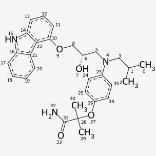 CC(C)CN(C[C@H](O)COc1cccc2[nH]c3ccccc3c12)c1ccc(OC(C)(C)C(N)=O)cc1